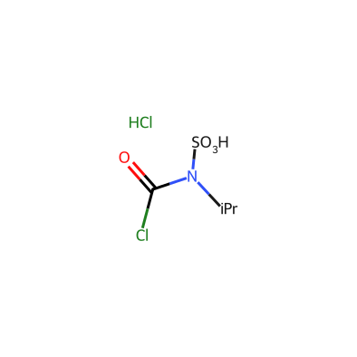 CC(C)N(C(=O)Cl)S(=O)(=O)O.Cl